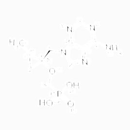 C[C@H]1C[C@@]1(Cn1cnc2c(N)ncnc21)OCP(=O)(O)O